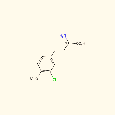 COc1ccc(CC[C@@H](N)C(=O)O)cc1Cl